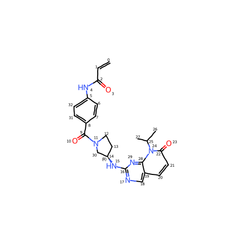 C=CC(=O)Nc1ccc(C(=O)N2CC[C@@H](Nc3ncc4ccc(=O)n(C(C)C)c4n3)C2)cc1